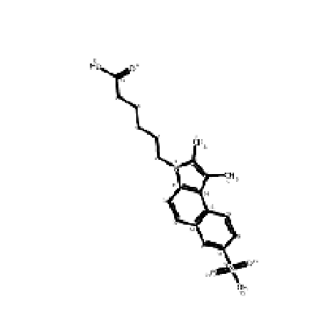 Cc1c(C)n(CCCCCC(=O)O)c2ccc3cc(S(=O)(=O)O)ccc3c12